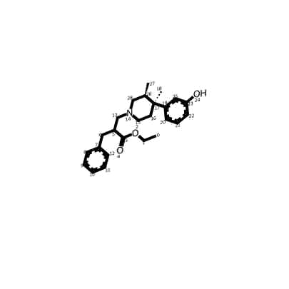 CCOC(=O)C(Cc1ccccc1)CN1CC[C@](C)(c2cccc(O)c2)[C@H](C)C1